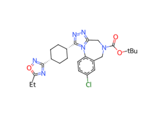 CCc1nc([C@H]2CC[C@@H](c3nnc4n3-c3ccc(Cl)cc3CN(C(=O)OC(C)(C)C)C4)CC2)no1